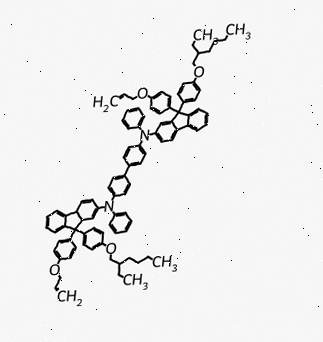 C=CCOc1ccc(C2(c3ccc(OCC(CC)CCCC)cc3)c3ccccc3-c3ccc(N(c4ccccc4)c4ccc(-c5ccc(N(C6=CC7C(C=C6)c6ccccc6C7(c6ccc(OCC=C)cc6)c6ccc(OCC(CC)CCCC)cc6)c6ccccc6)cc5)cc4)cc32)cc1